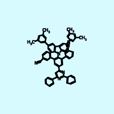 Cc1cc(C)cc(-c2ccc3c(c2)c2cc(-c4cc(C)cc(C)c4)ccc2n3-c2c(-c3cccc(C#N)c3)cc(-c3cc(-c4ccccc4)nc(-c4ccccc4)n3)cc2-c2cccc(C#N)c2)c1